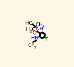 C#CC(C)(C)NC(=O)c1ccc(F)cc1NCCC(F)(F)F